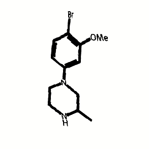 COc1cc(N2CCNC(C)C2)ccc1Br